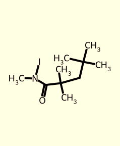 CN(I)C(=O)C(C)(C)CC(C)(C)C